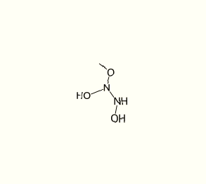 CON(O)NO